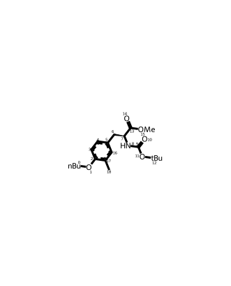 CCCCOc1ccc(C[C@H](NC(=O)OC(C)(C)C)C(=O)OC)cc1C